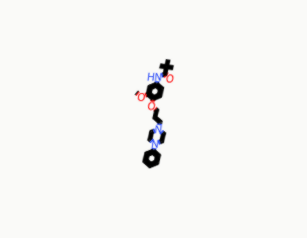 COc1cc(NC(=O)C(C)(C)C)ccc1OCCCN1CCN(c2ccccc2)CC1